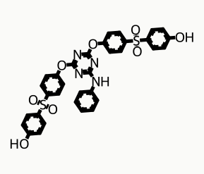 O=S(=O)(c1ccc(O)cc1)c1ccc(Oc2nc(Nc3ccccc3)nc(Oc3ccc(S(=O)(=O)c4ccc(O)cc4)cc3)n2)cc1